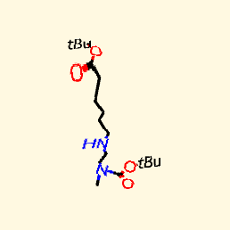 CN(CCNCCCCCC(=O)OC(C)(C)C)C(=O)OC(C)(C)C